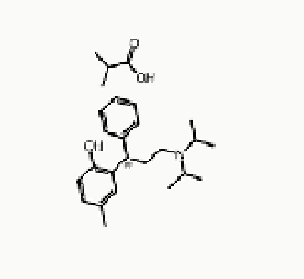 CC(C)C(=O)O.Cc1ccc(O)c([C@H](CCN(C(C)C)C(C)C)c2ccccc2)c1